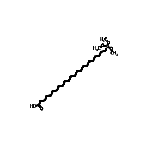 CO[Si](CCCCCCCCCCCCCCCCCCCCCCC(=O)O)(OC)OC